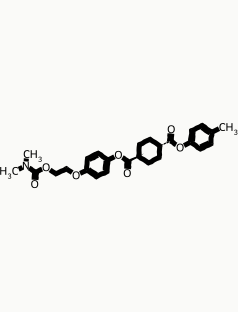 Cc1ccc(OC(=O)[C@H]2CC[C@H](C(=O)Oc3ccc(OCCOC(=O)N(C)C)cc3)CC2)cc1